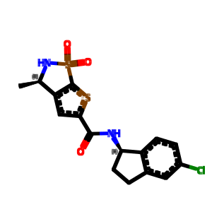 C[C@H]1NS(=O)(=O)c2sc(C(=O)N[C@@H]3CCc4cc(Cl)ccc43)cc21